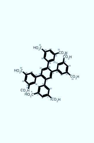 O=C(O)c1cc(C(=O)O)cc(-c2cc(-c3cc(C(=O)O)cc(C(=O)O)c3)c(-c3cc(C(=O)O)cc(C(=O)O)c3)cc2-c2cc(C(=O)O)cc(C(=O)O)c2)c1